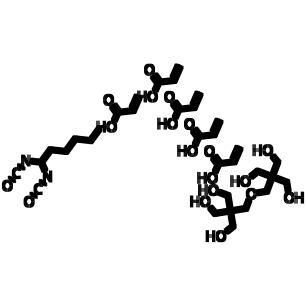 C=CC(=O)O.C=CC(=O)O.C=CC(=O)O.C=CC(=O)O.C=CC(=O)O.CCCCCC(N=C=O)N=C=O.OCC(CO)(CO)COCC(CO)(CO)CO